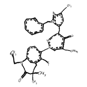 COc1cn(-c2ccc3c(c2F)C(C)(C)C(=O)N3CC(F)(F)F)nc(-c2cc(C)nn2-c2ccccc2)c1=O